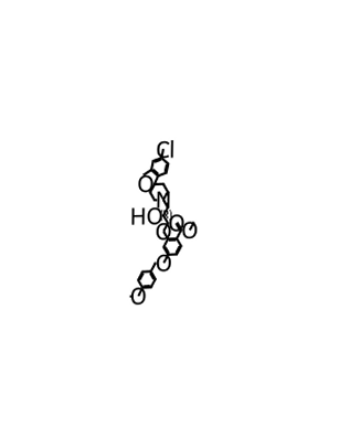 COC(=O)c1ccc(OCc2ccc(OC)cc2)cc1OC[C@H](O)CN1CCC2(CC1)OCc1cc(Cl)ccc12